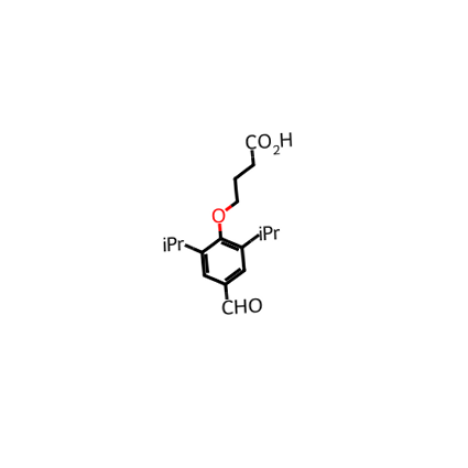 CC(C)c1cc(C=O)cc(C(C)C)c1OCCCC(=O)O